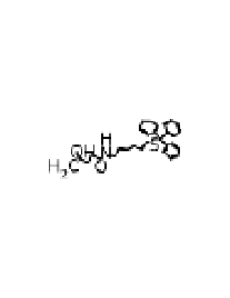 C=C(O)CCC(=O)NCCCCCCSC(c1ccccc1)(c1ccccc1)c1ccccc1